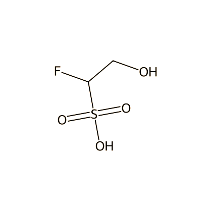 O=S(=O)(O)C(F)CO